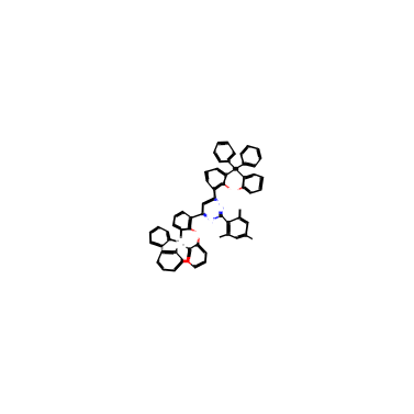 Cc1cc(C)c(-c2nc(-c3cccc4c3Oc3ccccc3C4(c3ccccc3)c3ccccc3)cc(-c3cccc4c3Oc3ccccc3[Si]4(c3ccccc3)c3ccccc3)n2)c(C)c1